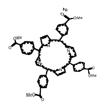 COC(=O)c1ccc(-c2c3nc(c(-c4ccc(C(=O)OC)cc4)c4ccc([nH]4)c(-c4ccc(C(=O)OC)cc4)c4nc(c(-c5ccc(C(=O)OC)cc5)c5ccc2[nH]5)C=C4)C=C3)cc1.[Ni]